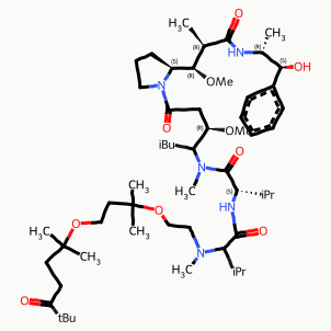 CCC(C)C([C@@H](CC(=O)N1CCC[C@H]1[C@H](OC)[C@@H](C)C(=O)N[C@H](C)[C@@H](O)c1ccccc1)OC)N(C)C(=O)[C@@H](NC(=O)C(C(C)C)N(C)CCOC(C)(C)CCOC(C)(C)CCC(=O)C(C)(C)C)C(C)C